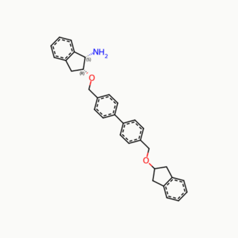 N[C@H]1c2ccccc2C[C@H]1OCc1ccc(-c2ccc(COC3Cc4ccccc4C3)cc2)cc1